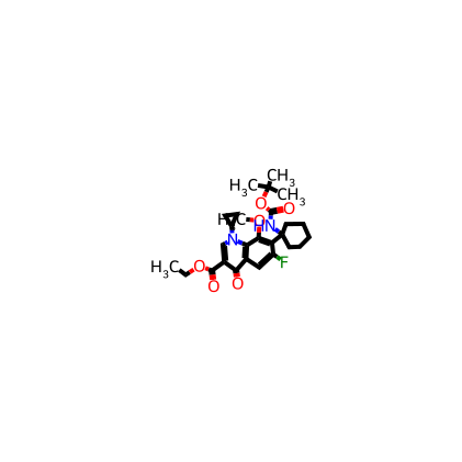 CCOC(=O)c1cn(C2CC2)c2c(OC)c(C3(NC(=O)OC(C)(C)C)CCCCC3)c(F)cc2c1=O